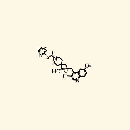 COc1ccc2ncc(Cl)c(CCCC3(C(=O)O)CCN(C(C)Sc4nccs4)CC3)c2c1